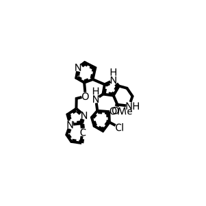 COc1c(Cl)cccc1Nc1c(-c2ccncc2OCc2cn3ccccc3n2)[nH]c2c1C(=O)NCC2